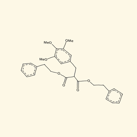 COc1cc(CC(C(=O)OCCc2ccccc2)C(=O)OCCc2ccccc2)cc(OC)c1OC